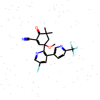 COC1(c2ncc(F)cc2-c2ccc(C(F)(F)F)nc2)C=C(C#N)C(=O)C(C)(C)C1